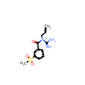 C=CCN(C(=N)N)C(=O)c1cccc(S(C)(=O)=O)c1